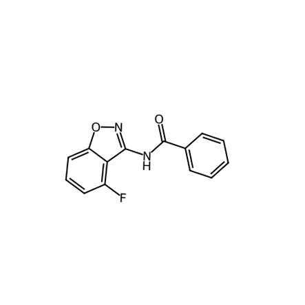 O=C(Nc1noc2cccc(F)c12)c1ccccc1